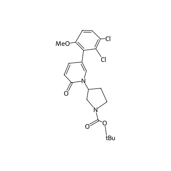 COc1ccc(Cl)c(Cl)c1-c1ccc(=O)n(C2CCN(C(=O)OC(C)(C)C)C2)c1